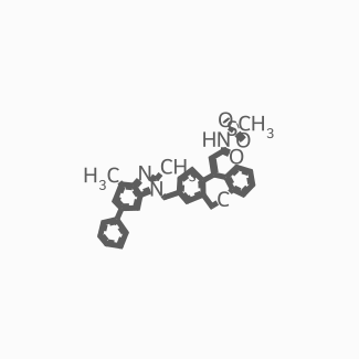 Cc1cc(-c2ccccc2)cc2c1nc(C)n2Cc1ccc2c(c1)CCc1ccccc1/C2=C\C(=O)NS(C)(=O)=O